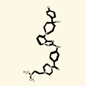 CN(C)CCN1CCN(C(=O)c2ccc(Nc3nc4c(N5CCC(O)(c6ccc(Cl)cc6)CC5)cccn4n3)cc2)CC1